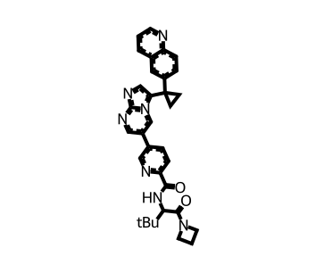 CC(C)(C)C(NC(=O)c1ccc(-c2cnc3ncc(C4(c5ccc6ncccc6c5)CC4)n3c2)cn1)C(=O)N1CCC1